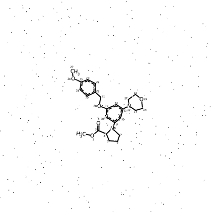 COC(=O)C1CCCN1c1cc(N2CCOCC2)cc(OCc2ccc(OC)cc2)n1